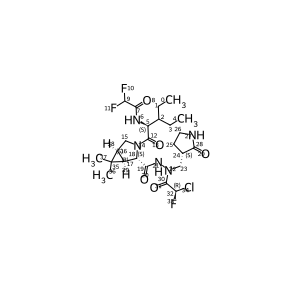 CCC(CC)[C@H](NC(=O)C(F)F)C(=O)N1C[C@H]2[C@@H]([C@H]1C(=O)NN(C[C@@H]1CCNC1=O)C(=O)[C@H](F)Cl)C2(C)C